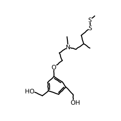 CSSCC(C)CN(C)CCOc1cc(CO)cc(CO)c1